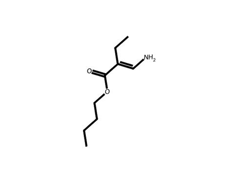 CCCCOC(=O)C(=CN)CC